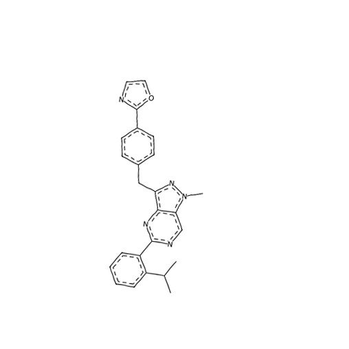 CC(C)c1ccccc1-c1ncc2c(n1)c(Cc1ccc(-c3ncco3)cc1)nn2C